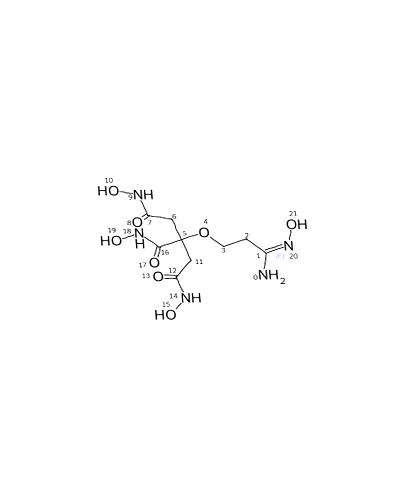 N/C(CCOC(CC(=O)NO)(CC(=O)NO)C(=O)NO)=N/O